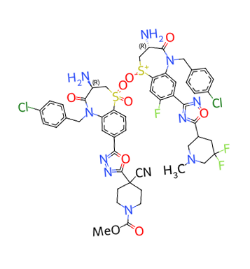 CN1CC(c2nc(-c3cc4c(cc3F)[S+]([O-])C[C@H](N)C(=O)N4Cc3ccc(Cl)cc3)no2)CC(F)(F)C1.COC(=O)N1CCC(C#N)(c2nnc(-c3ccc4c(c3)N(Cc3ccc(Cl)cc3)C(=O)[C@@H](N)CS4(=O)=O)o2)CC1